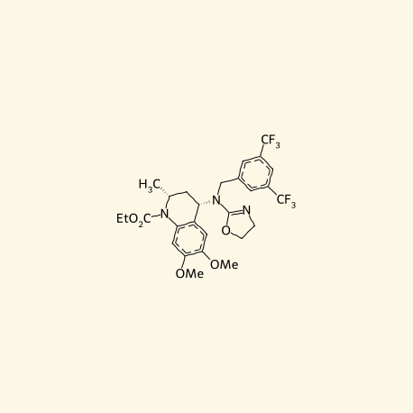 CCOC(=O)N1c2cc(OC)c(OC)cc2[C@@H](N(Cc2cc(C(F)(F)F)cc(C(F)(F)F)c2)C2=NCCO2)C[C@H]1C